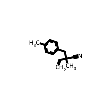 C=CC(C)(C#N)Cc1ccc(C)cc1